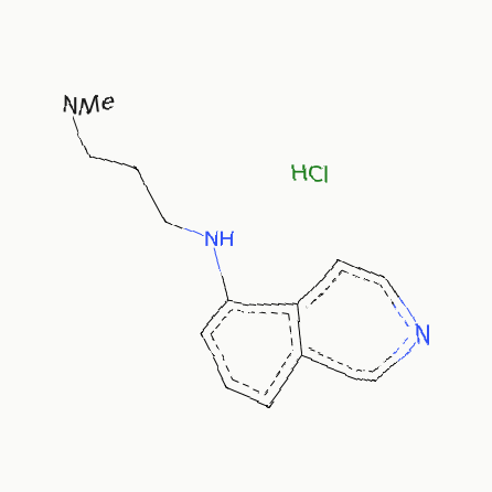 CNCCCNc1cccc2cnccc12.Cl